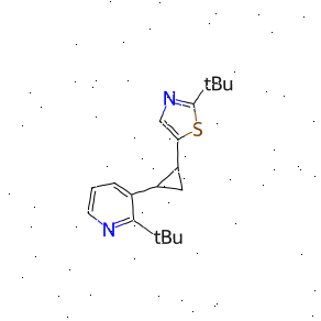 CC(C)(C)c1ncc(C2CC2c2cccnc2C(C)(C)C)s1